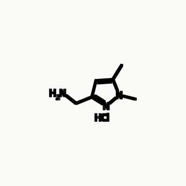 Cc1cc(CN)nn1C.Cl